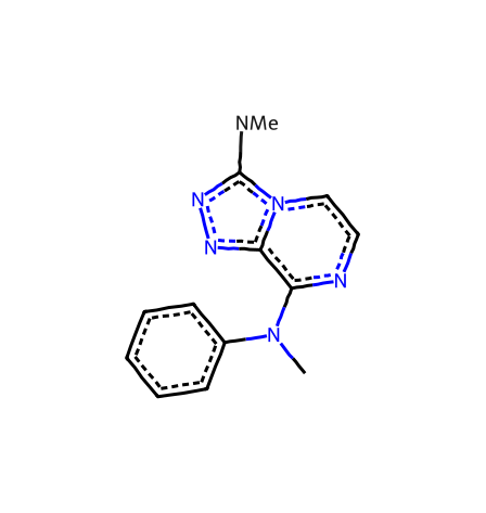 CNc1nnc2c(N(C)c3ccccc3)nccn12